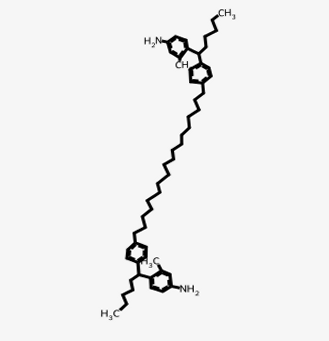 CCCCCC(c1ccc(CCCCCCCCCCCCCCCCCCc2ccc(C(CCCCC)c3ccc(N)cc3C)cc2)cc1)c1ccc(N)cc1C